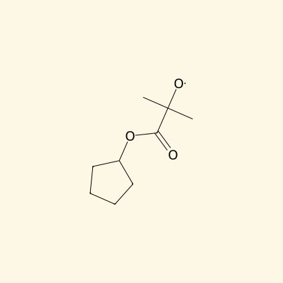 CC(C)([O])C(=O)OC1CCCC1